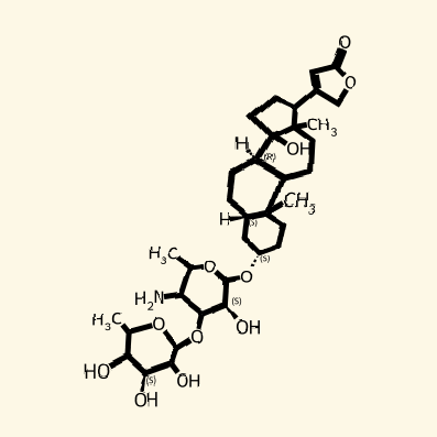 CC1OC(O[C@H]2CCC3(C)C4CCC5(C)C(C6=CC(=O)OC6)CCC5(O)[C@@H]4CC[C@H]3C2)[C@@H](O)C(OC2OC(C)C(O)[C@H](O)C2O)C1N